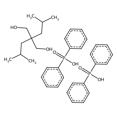 CC(C)CC(CO)(CO)CC(C)C.O=P(O)(c1ccccc1)c1ccccc1.O=P(O)(c1ccccc1)c1ccccc1